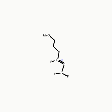 COCCO/[PH](F)=N/P(F)F